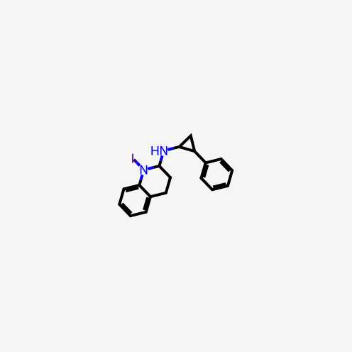 IN1c2ccccc2CCC1NC1CC1c1ccccc1